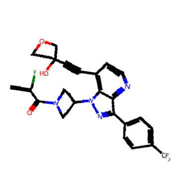 C=C(F)C(=O)N1CC(n2nc(-c3ccc(C(F)(F)F)cc3)c3nccc(C#CC4(O)COC4)c32)C1